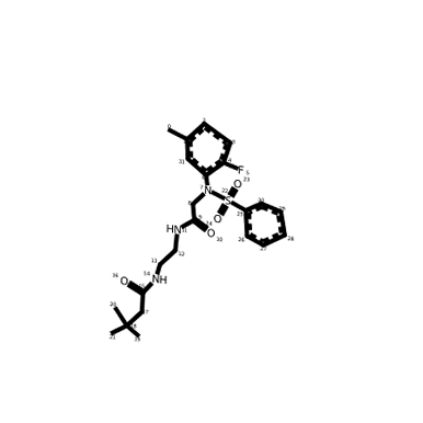 Cc1ccc(F)c(N(CC(=O)NCCNC(=O)CC(C)(C)C)S(=O)(=O)c2ccccc2)c1